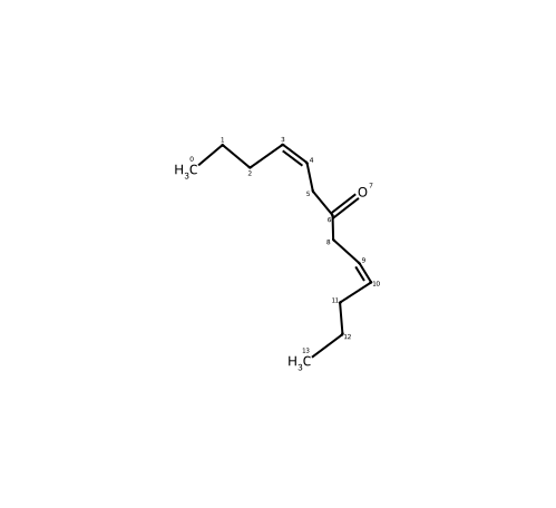 CCC/C=C\CC(=O)C/C=C\CCC